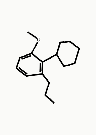 CCCc1cccc(OC)c1C1CCCCC1